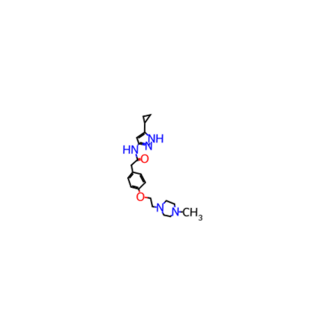 CN1CCN(CCOc2ccc(CC(=O)Nc3cc(C4CC4)[nH]n3)cc2)CC1